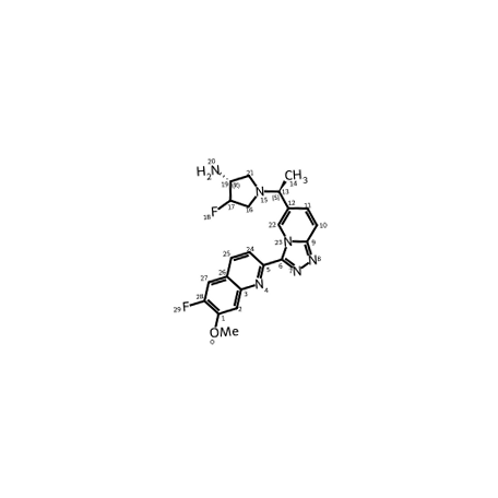 COc1cc2nc(-c3nnc4ccc([C@H](C)N5CC(F)[C@H](N)C5)cn34)ccc2cc1F